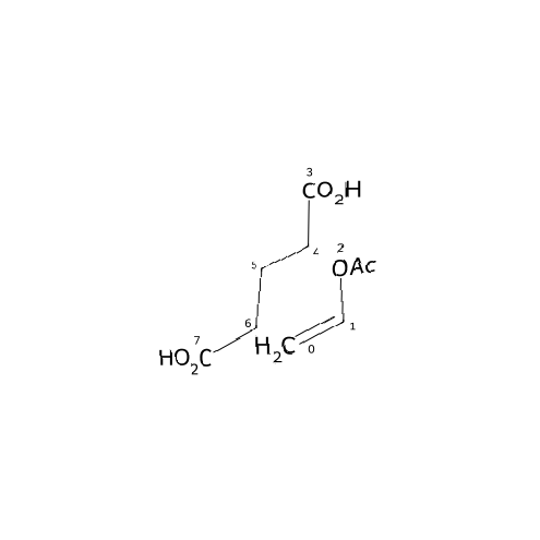 C=COC(C)=O.O=C(O)CCCC(=O)O